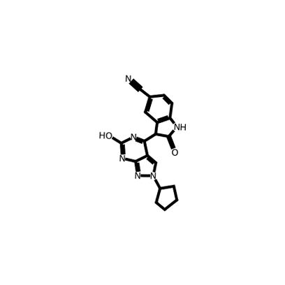 N#Cc1ccc2c(c1)C(c1nc(O)nc3nn(C4CCCC4)cc13)C(=O)N2